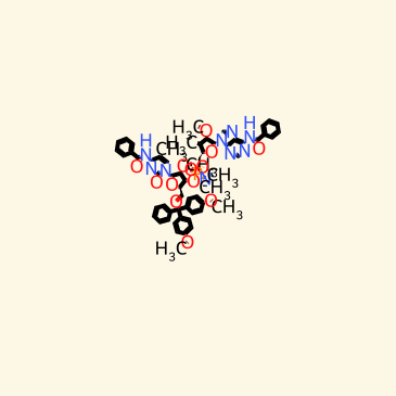 COc1ccc(C(OC[C@H]2O[C@@H](n3cc(C)c(NC(=O)c4ccccc4)nc3=O)[C@@H](OC)C2OP(=O)(OC[C@H]2O[C@@H](n3cnc4c(NC(=O)c5ccccc5)ncnc43)[C@@H](OC)C2C)N(C)C)(c2ccccc2)c2ccc(OC)cc2)cc1